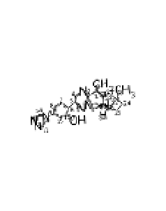 C=C(c1ncc(-c2ccc(-n3cnnc3)cc2O)nn1)[C@H]1C[C@]2(C)CC[C@@H](C2)[C@H]1F